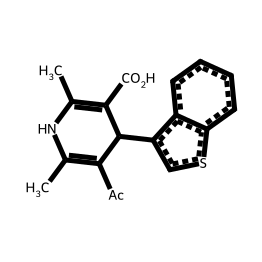 CC(=O)C1=C(C)NC(C)=C(C(=O)O)C1c1csc2ccccc12